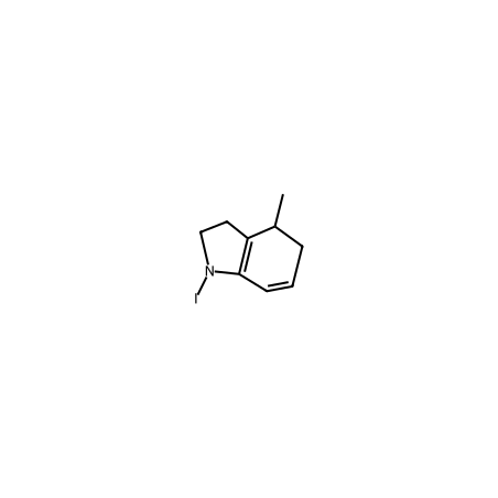 CC1CC=CC2=C1CCN2I